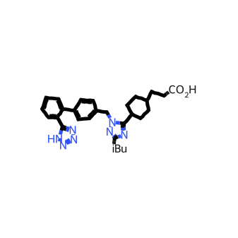 CCC(C)c1nc(C2CCC(CCC(=O)O)CC2)n(Cc2ccc(-c3ccccc3-c3nnn[nH]3)cc2)n1